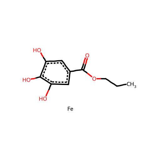 CCCOC(=O)c1cc(O)c(O)c(O)c1.[Fe]